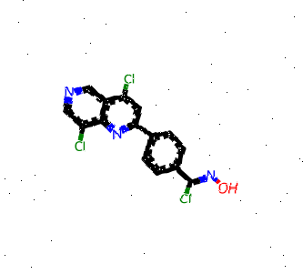 O/N=C(\Cl)c1ccc(-c2cc(Cl)c3cncc(Cl)c3n2)cc1